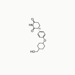 O=C1CC[C@H](c2ccc(OC3CCC(CO)CC3)cc2)C(=O)N1